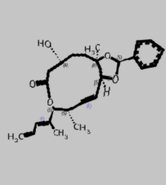 C=C/C=C(\C)[C@H]1OC(=O)C[C@H](O)CC[C@@]2(C)O[C@@H](c3ccccc3)O[C@H]2/C=C/[C@@H]1C